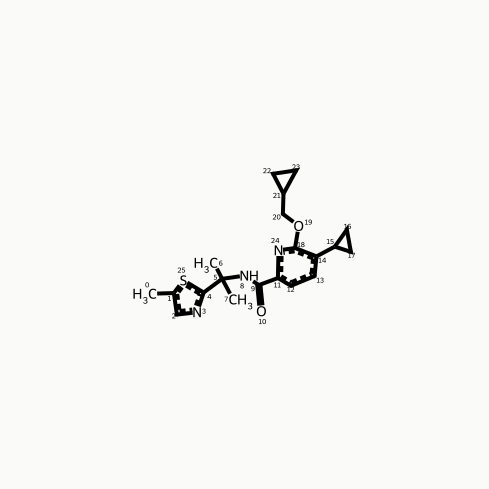 Cc1cnc(C(C)(C)NC(=O)c2ccc(C3CC3)c(OCC3CC3)n2)s1